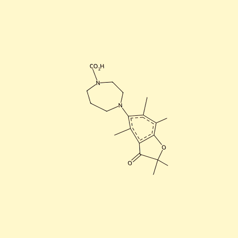 Cc1c(C)c(N2CCCN(C(=O)O)CC2)c(C)c2c1OC(C)(C)C2=O